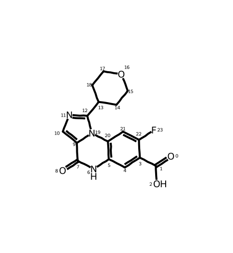 O=C(O)c1cc2[nH]c(=O)c3cnc(C4CCOCC4)n3c2cc1F